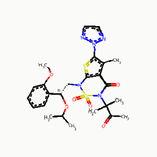 COc1ccccc1[C@H](CN1c2sc(-n3nccn3)c(C)c2C(=O)N(C(C)(C)C(C)=O)S1(=O)=O)OC(C)C